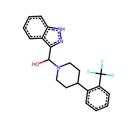 OC(c1n[nH]c2ccccc12)N1CCC(c2ccccc2C(F)(F)F)CC1